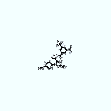 CC(NC(=O)c1cc(C(F)F)cc(C(F)(F)F)c1)c1nc(Br)nn1-c1ccc(C#N)cn1